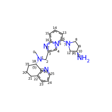 CN(Cc1cn2c(N3CC[C@@H](N)C3)cccc2n1)[C@H]1CCCc2cccnc21